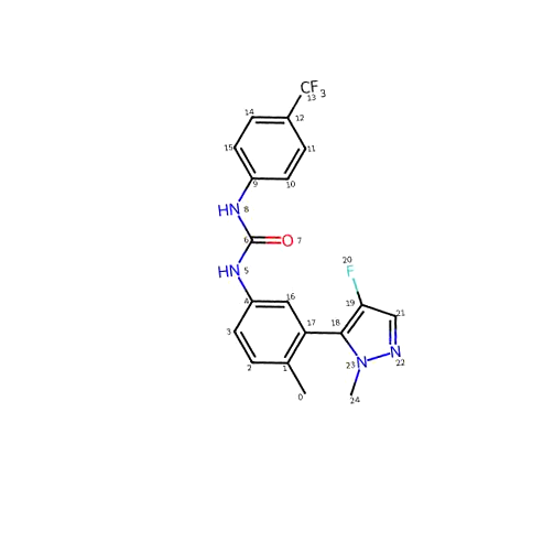 Cc1ccc(NC(=O)Nc2ccc(C(F)(F)F)cc2)cc1-c1c(F)cnn1C